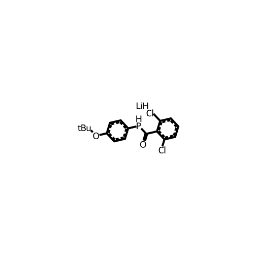 CC(C)(C)Oc1ccc(PC(=O)c2c(Cl)cccc2Cl)cc1.[LiH]